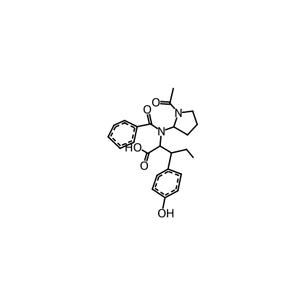 CCC(c1ccc(O)cc1)C(C(=O)O)N(C(=O)c1ccccc1)C1CCCN1C(C)=O